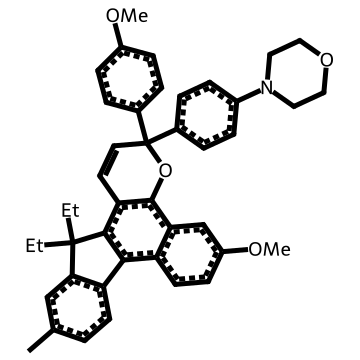 CCC1(CC)c2cc(C)ccc2-c2c1c1c(c3cc(OC)ccc23)OC(c2ccc(OC)cc2)(c2ccc(N3CCOCC3)cc2)C=C1